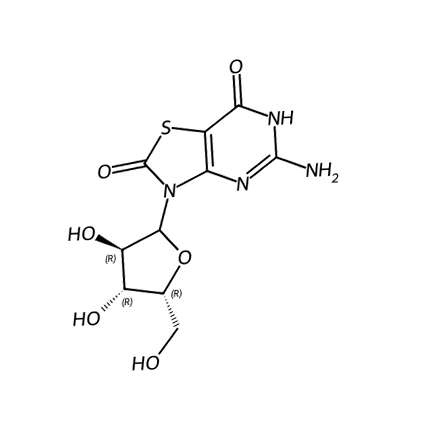 Nc1nc2c(sc(=O)n2C2O[C@H](CO)[C@H](O)[C@H]2O)c(=O)[nH]1